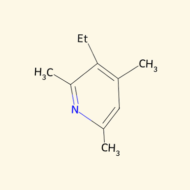 CCc1c(C)cc(C)nc1C